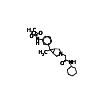 CC1(c2cccc(NS(C)(=O)=O)c2)C2CN(CC(=O)NC3CCCCC3)CC21